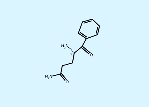 NC(=O)CC[C@H](N)C(=O)c1ccccc1